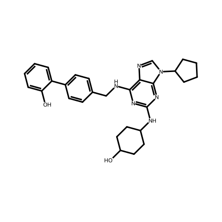 Oc1ccccc1-c1ccc(CNc2nc(NC3CCC(O)CC3)nc3c2ncn3C2CCCC2)cc1